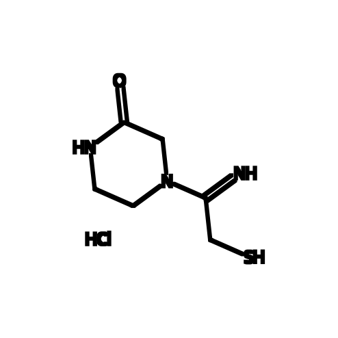 Cl.N=C(CS)N1CCNC(=O)C1